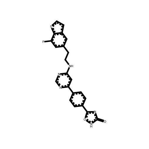 O=c1nc(-c2ccc(-c3cc(NCCc4cc(F)c5sccc5c4)ncn3)cc2)o[nH]1